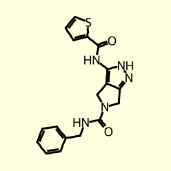 O=C(Nc1[nH]nc2c1CN(C(=O)NCc1ccccc1)C2)c1cccs1